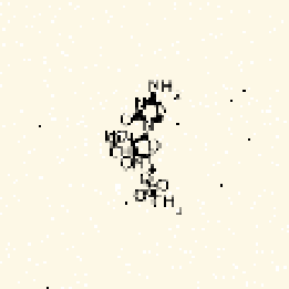 CO.CS(=O)(=O)OC[C@H]1O[C@@H](n2cnc(N)nc2=O)[C@H](O)[C@@H]1O